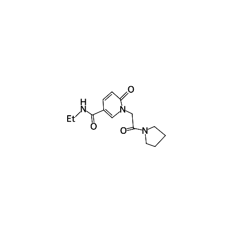 CCNC(=O)c1ccc(=O)n(CC(=O)N2CCCC2)c1